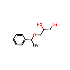 [CH2]CCC(OCC(O)CO)c1ccccc1